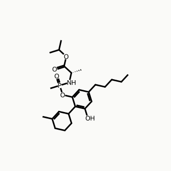 CCCCCc1cc(O)c(C2C=C(C)CCC2)c(OP(C)(=O)N[C@@H](C)C(=O)OC(C)C)c1